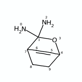 NC1(N)OC2C=CC1CC2